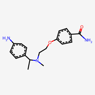 CC(c1ccc(N)cc1)N(C)CCOc1ccc(C(N)=O)cc1